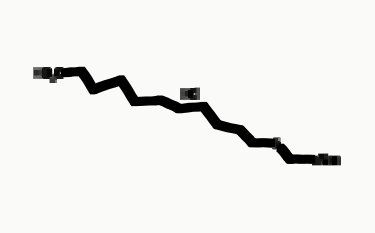 CCCCCCCCCCSCCCCCCCCCCC(=O)O.Cl